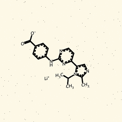 Cc1ncc(-c2ccnc(Nc3ccc(C(=O)[O-])cc3)n2)n1C(C)C.[Li+]